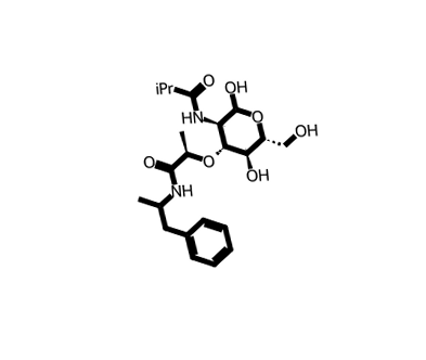 CC(Cc1ccccc1)NC(=O)[C@@H](C)O[C@H]1[C@H](O)[C@@H](CO)OC(O)[C@@H]1NC(=O)C(C)C